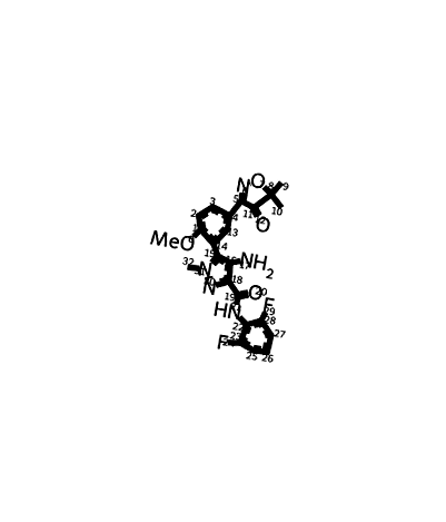 COc1ccc(C2=NOC(C)(C)C2=O)cc1-c1c(N)c(C(=O)Nc2c(F)cccc2F)nn1C